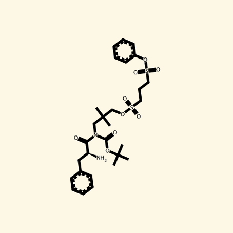 CC(C)(COS(=O)(=O)CCCS(=O)(=O)Oc1ccccc1)CN(C(=O)OC(C)(C)C)C(=O)[C@@H](N)Cc1ccccc1